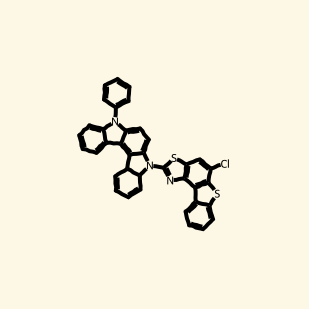 Clc1cc2sc(N3c4ccc5c(c4C4C=CC=CC43)c3ccccc3n5-c3ccccc3)nc2c2c1sc1ccccc12